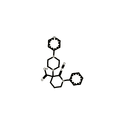 O=C=C1N(c2ccccc2)CCCC1(C(=O)O)N1CCN(c2ccncc2)CC1